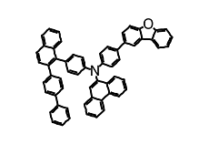 c1ccc(-c2ccc(-c3ccc4ccccc4c3-c3ccc(N(c4ccc(-c5ccc6oc7ccccc7c6c5)cc4)c4cc5ccccc5c5ccccc45)cc3)cc2)cc1